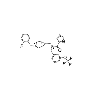 O=C(c1cscn1)N(Cc1cccc(OC(F)(F)F)c1)CC1C2CN(Cc3ccccc3F)CC21